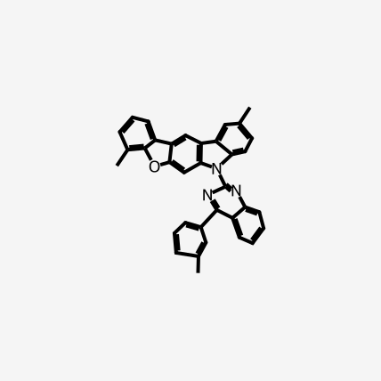 Cc1cccc(-c2nc(-n3c4ccc(C)cc4c4cc5c(cc43)oc3c(C)cccc35)nc3ccccc23)c1